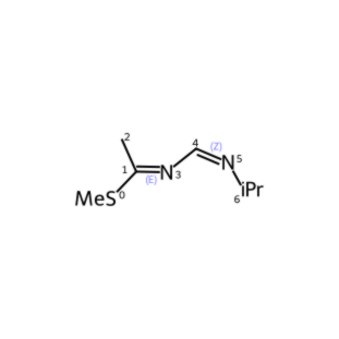 CS/C(C)=N/C=N\C(C)C